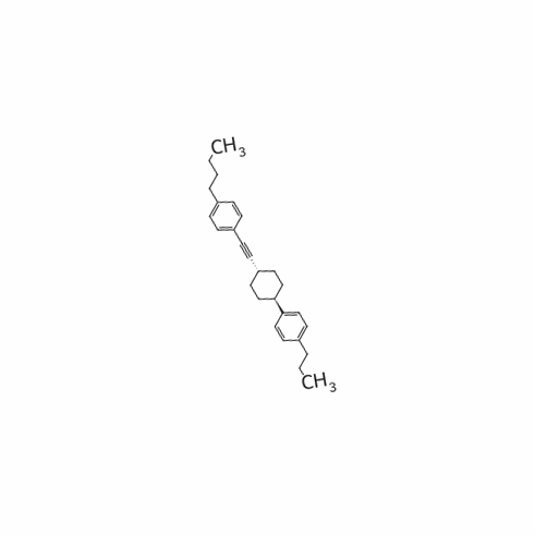 CCCCc1ccc(C#C[C@H]2CC[C@H](c3ccc(CCC)cc3)CC2)cc1